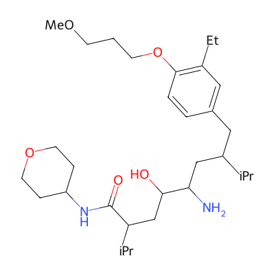 CCc1cc(CC(CC(N)C(O)CC(C(=O)NC2CCOCC2)C(C)C)C(C)C)ccc1OCCCOC